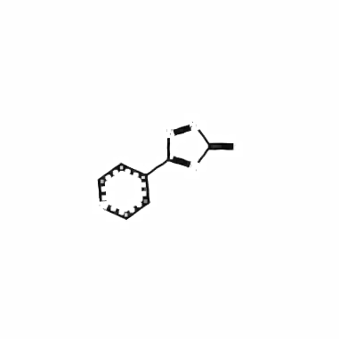 S=C1N=NC(c2ccncc2)=N1